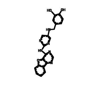 Oc1ccc(CNc2cnc(Nc3ncnc4c3oc3ccccc34)nc2)cc1O